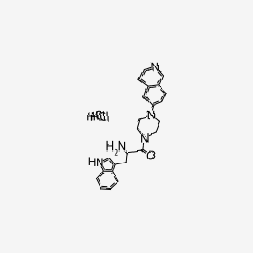 Cl.Cl.N[C@H](Cc1c[nH]c2ccccc12)C(=O)N1CCN(c2ccc3cnccc3c2)CC1